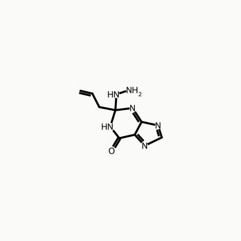 C=CCC1(NN)N=C2N=CN=C2C(=O)N1